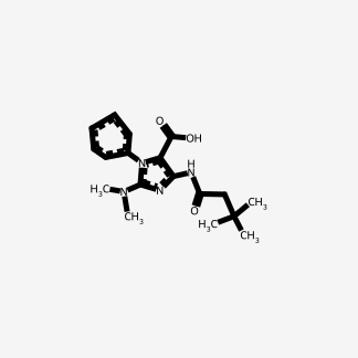 CN(C)c1nc(NC(=O)CC(C)(C)C)c(C(=O)O)n1-c1ccccc1